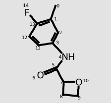 Cc1cc(NC(=O)C2CCO2)ccc1F